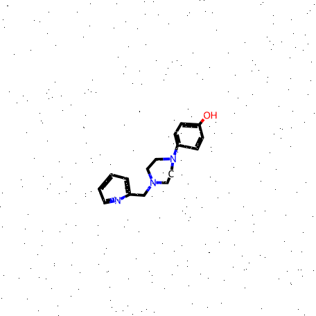 Oc1ccc(N2CCN(Cc3ccccn3)CC2)cc1